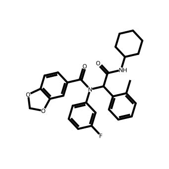 Cc1ccccc1C(C(=O)NC1CCCCC1)N(C(=O)c1ccc2c(c1)OCO2)c1cccc(F)c1